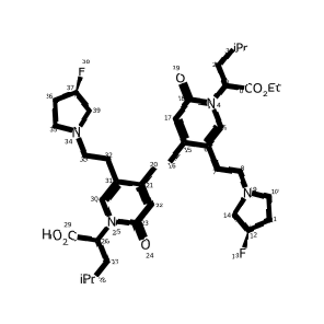 CCOC(=O)C(CC(C)C)n1cc(CCN2CC[C@@H](F)C2)c(C)cc1=O.Cc1cc(=O)n(C(CC(C)C)C(=O)O)cc1CCN1CC[C@@H](F)C1